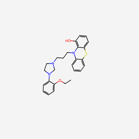 CCOc1ccccc1N1CCN(CCCN2c3ccccc3Sc3cccc(O)c32)C1